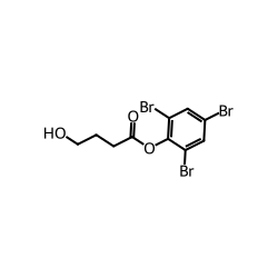 O=C(CCCO)Oc1c(Br)cc(Br)cc1Br